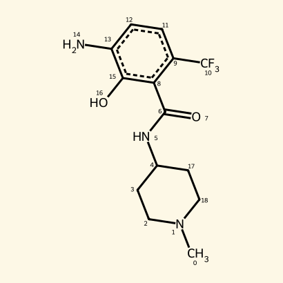 CN1CCC(NC(=O)c2c(C(F)(F)F)ccc(N)c2O)CC1